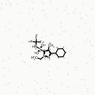 CCn1nc(C2CCCCC2)c(C)c1S(=O)(=O)NC(F)(F)F